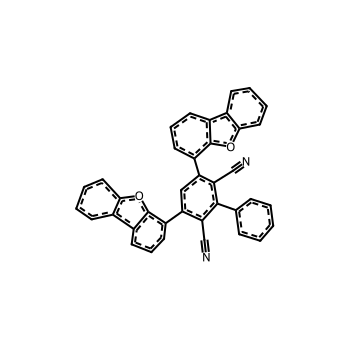 N#Cc1c(-c2cccc3c2oc2ccccc23)cc(-c2cccc3c2oc2ccccc23)c(C#N)c1-c1ccccc1